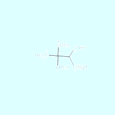 CCCCCCCC(CCCCCC)C(CCCCCC)(CCCCCC)C(=O)O